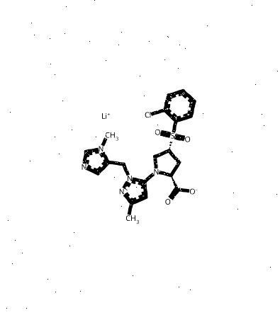 Cc1cc(N2C[C@H](S(=O)(=O)c3ccccc3Cl)C[C@H]2C(=O)[O-])n(Cc2cncn2C)n1.[Li+]